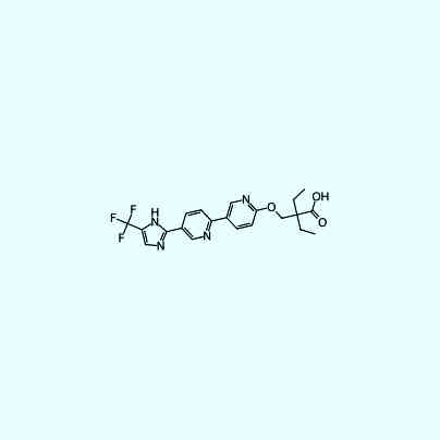 CCC(CC)(COc1ccc(-c2ccc(-c3ncc(C(F)(F)F)[nH]3)cn2)cn1)C(=O)O